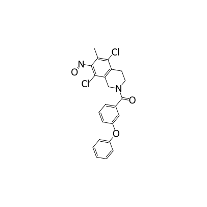 Cc1c(Cl)c2c(c(Cl)c1N=O)CN(C(=O)c1cccc(Oc3ccccc3)c1)CC2